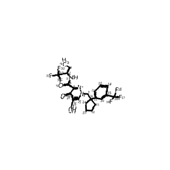 CCC(NC(=O)c1nn(CC2(c3cccc(C(F)(F)F)c3)CCCC2)cc(O)c1=O)C(F)(F)F